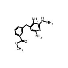 COC(=O)c1cccc(Cc2cc(N)nc(NN)c2N)c1